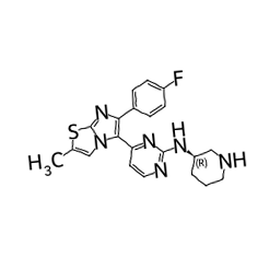 Cc1cn2c(-c3ccnc(N[C@@H]4CCCNC4)n3)c(-c3ccc(F)cc3)nc2s1